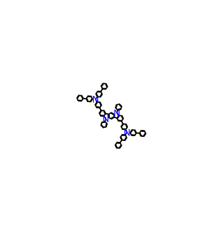 c1ccc(-c2ccc(N(c3ccc(-c4ccccc4)cc3)c3ccc(-c4ccc5c(c4)c4cc6c(cc4n5-c4ccccc4)c4cc(-c5ccc(N(c7ccc(-c8ccccc8)cc7)c7ccc(-c8ccccc8)cc7)cc5)ccc4n6-c4ccccc4)cc3)cc2)cc1